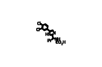 CC(C)C(NC(=O)O)c1ncc(-c2ccc(Cl)c(Cl)c2)[nH]1